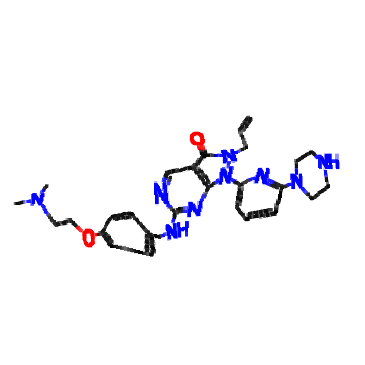 C=CCn1c(=O)c2cnc(Nc3ccc(OCCN(C)C)cc3)nc2n1-c1cccc(N2CCNCC2)n1